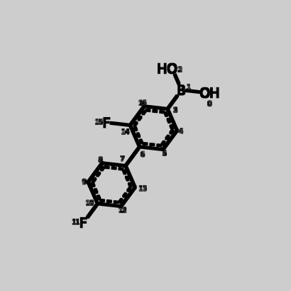 OB(O)c1ccc(-c2ccc(F)cc2)c(F)c1